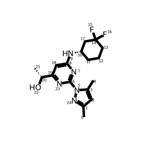 Cc1cc(C)n(-c2nc(N[C@H]3CCCC(F)(F)C3)cc([C@@H](C)O)n2)n1